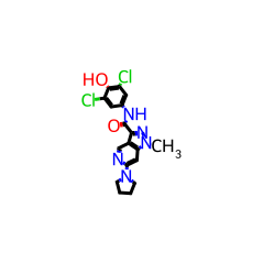 Cn1nc(C(=O)Nc2cc(Cl)c(O)c(Cl)c2)c2cnc(N3CCCC3)cc21